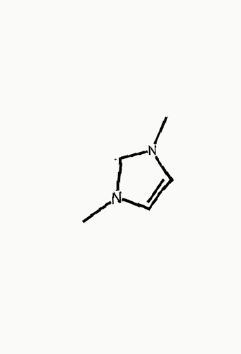 CN1[CH]N(C)C=C1